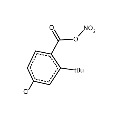 CC(C)(C)c1cc(Cl)ccc1C(=O)O[N+](=O)[O-]